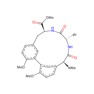 CN[C@@H]1C(=O)N[C@@H](C(C)C)C(=O)N[C@H](C(=O)OC)Cc2ccc(OC)c(c2)-c2cc1ccc2OC